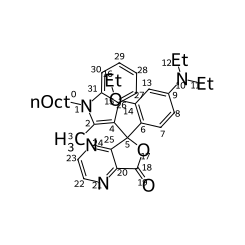 CCCCCCCCn1c(C)c(C2(c3ccc(N(CC)CC)cc3OCC)OC(=O)c3nccnc32)c2ccccc21